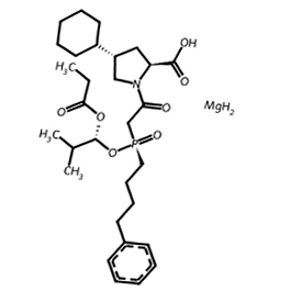 CCC(=O)O[C@H](O[P@](=O)(CCCCc1ccccc1)CC(=O)N1C[C@H](C2CCCCC2)C[C@H]1C(=O)O)C(C)C.[MgH2]